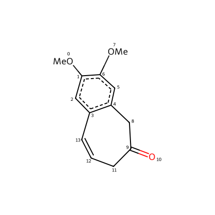 COc1cc2c(cc1OC)CC(=O)CC=C2